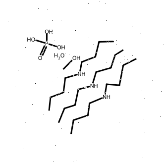 CCCCNCCCC.CCCCNCCCC.CCCCNCCCC.CO.O.O=P(O)(O)O